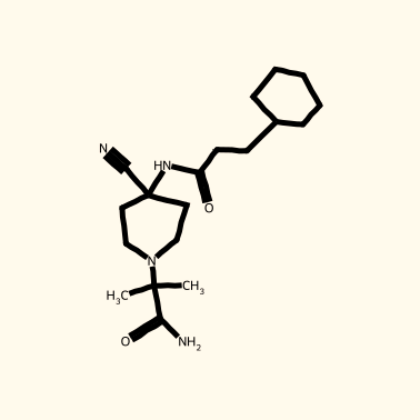 CC(C)(C(N)=O)N1CCC(C#N)(NC(=O)[CH]CC2CCCCC2)CC1